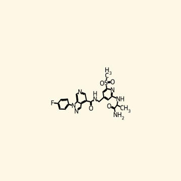 CC(Nc1cc(CNC(=O)c2cncc3c2cnn3-c2ccc(F)cc2)cc(S(C)(=O)=O)n1)C(N)=O